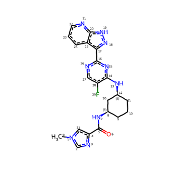 Cn1cnc(C(=O)N[C@@H]2CCC[C@H](Nc3nc(-c4n[nH]c5ncccc45)ncc3F)C2)c1